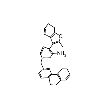 Cc1oc2c(c1-c1ccc(Cc3ccc4c(c3)C3=C(C=CCC3)CC4)cc1N)C=CCC2